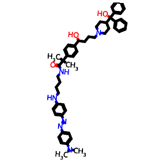 CN(C)c1ccc(/N=N/c2ccc(NCCCCNC(=O)C(C)(C)c3ccc(C(O)CCCN4CCC(C(O)(c5ccccc5)c5ccccc5)CC4)cc3)cc2)cc1